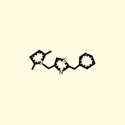 Cc1ccc(C)n1Cc1csc(Cc2ccccc2)n1